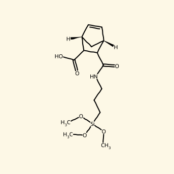 CO[Si](CCCNC(=O)C1C(C(=O)O)[C@@H]2C=C[C@H]1C2)(OC)OC